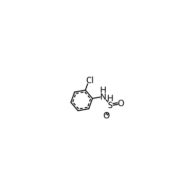 O=[SH](=O)Nc1ccccc1Cl